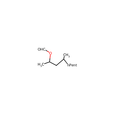 CCCCCC(C)CC(C)OC=O